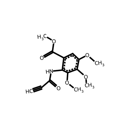 C#CC(=O)Nc1c(C(=O)OC)cc(OC)c(OC)c1OC